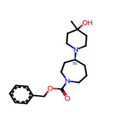 CC1(O)CCN([C@H]2CCCN(C(=O)OCc3ccccc3)CC2)CC1